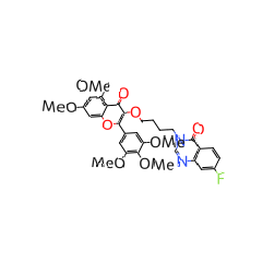 COc1cc(OC)c2c(=O)c(OCCCCn3cnc4cc(F)ccc4c3=O)c(-c3cc(OC)c(OC)c(OC)c3)oc2c1